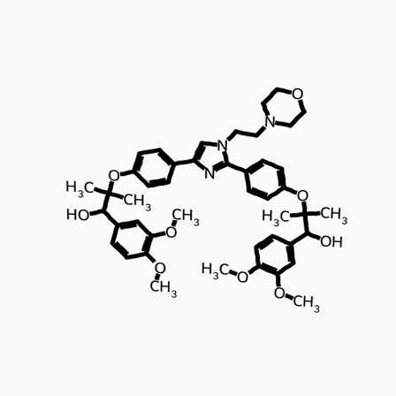 COc1ccc(C(O)C(C)(C)Oc2ccc(-c3cn(CCN4CCOCC4)c(-c4ccc(OC(C)(C)C(O)c5ccc(OC)c(OC)c5)cc4)n3)cc2)cc1OC